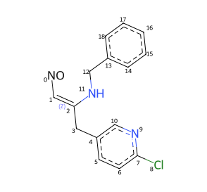 O=N/C=C(/Cc1ccc(Cl)nc1)NCc1ccccc1